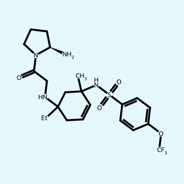 CCC1(NCC(=O)N2CCC[C@H]2N)CC=CC(C)(NS(=O)(=O)c2ccc(OC(F)(F)F)cc2)C1